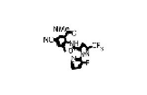 CNC(=O)c1cc(C#N)cc(C)c1NC(=O)c1cc(C(F)(F)F)nn1-c1ncccc1F